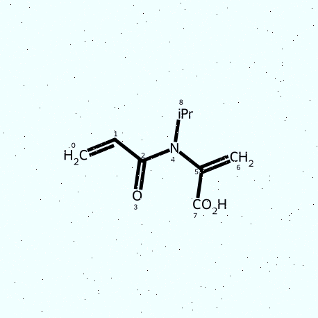 C=CC(=O)N(C(=C)C(=O)O)C(C)C